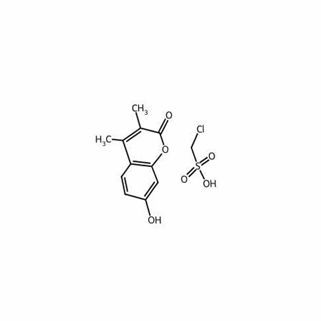 Cc1c(C)c2ccc(O)cc2oc1=O.O=S(=O)(O)CCl